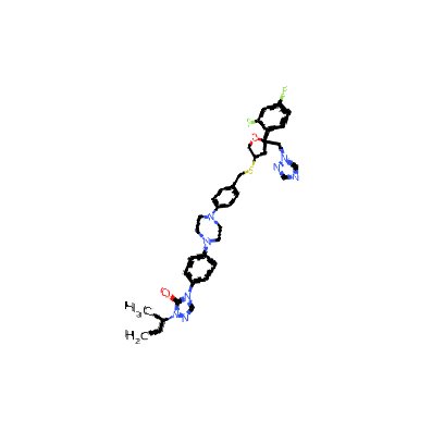 C=CC(C)n1ncn(-c2ccc(N3CCN(c4ccc(CSC5COC(Cn6cncn6)(c6ccc(F)cc6F)C5)cc4)CC3)cc2)c1=O